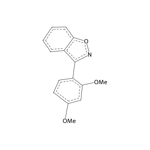 COc1ccc(-c2noc3ccccc23)c(OC)c1